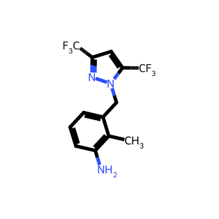 Cc1c(N)cccc1Cn1nc(C(F)(F)F)cc1C(F)(F)F